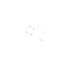 CC1Cc2ccccc2C(C=O)N1